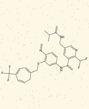 C=Nc1ccc(NC(=C)c2cc(CNC(=C)C(C)C)cnc2C(F)F)cc1SCC1=CC=C(C(F)(F)F)C=CC1